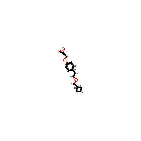 c1cc(OCC2CO2)ccc1CCOCC1CCC1